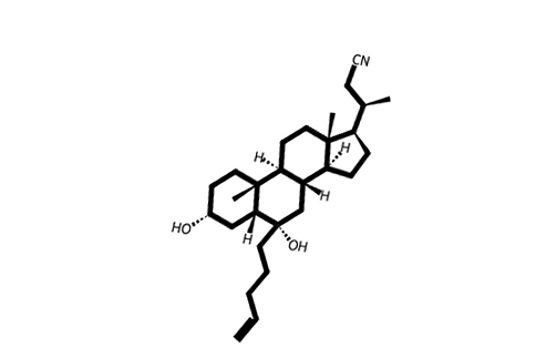 C=CCCC[C@]1(O)C[C@H]2[C@@H]3CC[C@H]([C@H](C)CC#N)[C@@]3(C)CC[C@@H]2[C@@]2(C)CC[C@@H](O)C[C@@H]12